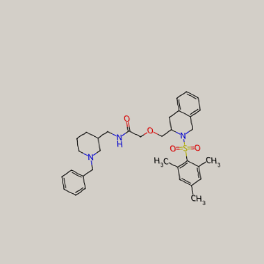 Cc1cc(C)c(S(=O)(=O)N2Cc3ccccc3CC2COCC(=O)NCC2CCCN(Cc3ccccc3)C2)c(C)c1